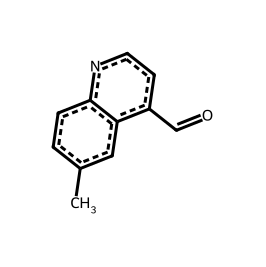 Cc1ccc2nccc(C=O)c2c1